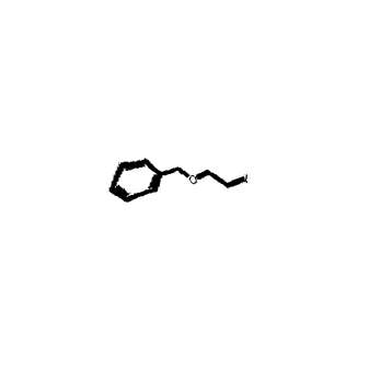 I[CH]COCc1ccccc1